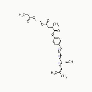 C#CC(/C=N/N=C/c1ccc(OC(=O)C(C)CC(=O)OCCOC(=O)C=C)cc1)=C\C=C(C)C